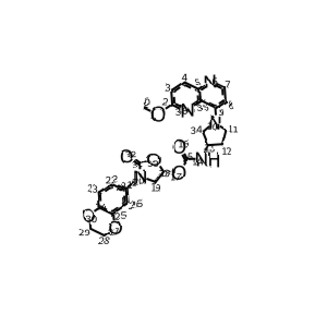 COc1ccc2nccc(N3CC[C@@H](NC(=O)O[C@@H]4CN(c5ccc6c(c5)OCCO6)C(=O)O4)C3)c2n1